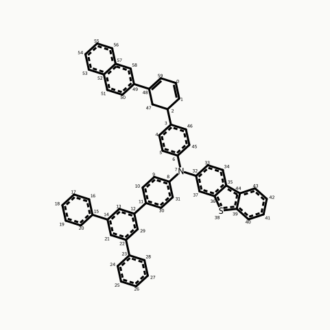 C1=CC(c2ccc(N(c3ccc(-c4cc(-c5ccccc5)cc(-c5ccccc5)c4)cc3)c3ccc4c(c3)sc3ccccc34)cc2)CC(c2ccc3ccccc3c2)=C1